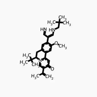 C=C(C)c1cn2c(cc1=O)-c1cc(OC)c(/C(C=N)=C/NCC(C)(C)C)cc1CC2C(C)(C)C